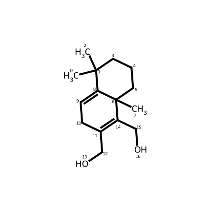 CC1(C)CCCC2(C)C1=CCC(CO)=C2CO